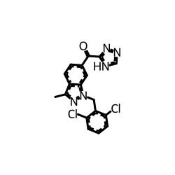 Cc1nn(Cc2c(Cl)cccc2Cl)c2cc(C(=O)c3nnc[nH]3)ccc12